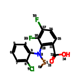 CSN(c1ccccc1Cl)c1c(C(=O)O)ccc(F)c1F